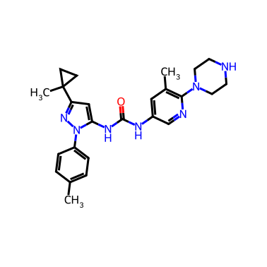 Cc1ccc(-n2nc(C3(C)CC3)cc2NC(=O)Nc2cnc(N3CCNCC3)c(C)c2)cc1